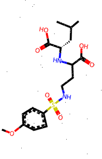 COc1ccc(S(=O)(=O)NCCC(N[C@@H](CC(C)C)C(=O)O)C(=O)O)cc1